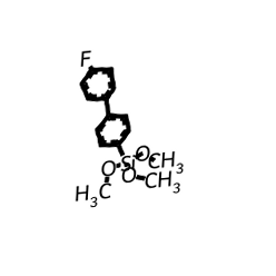 CO[Si](OC)(OC)c1ccc(-c2ccc(F)cc2)cc1